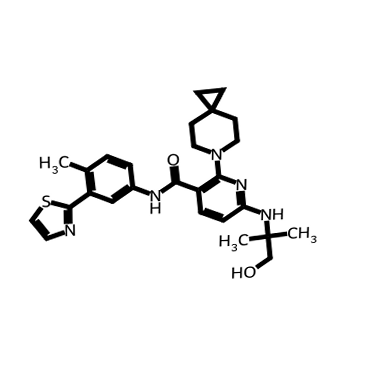 Cc1ccc(NC(=O)c2ccc(NC(C)(C)CO)nc2N2CCC3(CC2)CC3)cc1-c1nccs1